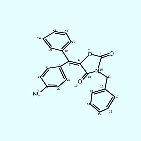 N#Cc1ccc(C(=C2OC(=O)N(Cc3ccccc3)C2=O)c2ccccc2)cc1